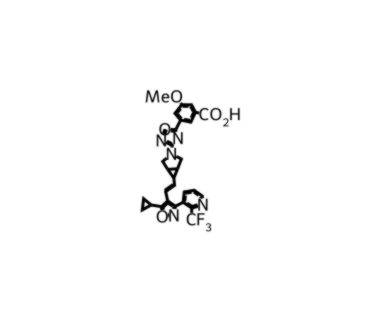 COc1cc(C(=O)O)cc(-c2nc(N3CC4C(C=Cc5c(-c6cccnc6C(F)(F)F)noc5C5CC5)C4C3)no2)c1